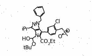 CCOC(=O)c1c(-c2ccc(CS(C)(=O)=O)c(Cl)c2)c2c(c(C(C)C)nn2Cc2ccccc2)n1C(O)OC(C)(C)C